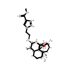 COC(=O)c1cn(CCO[C@H]2O[C@@H]3O[C@]4(C)CC[C@H]5[C@H](C)CCC([C@H]2C)C35OO4)nn1